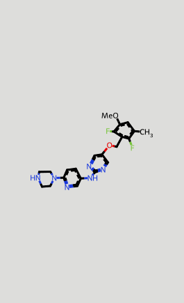 COc1cc(C)c(F)c(COc2cnc(Nc3ccc(N4CCNCC4)nc3)nc2)c1F